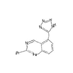 CC(C)c1ncc2c(-c3nnn[nH]3)cccc2n1